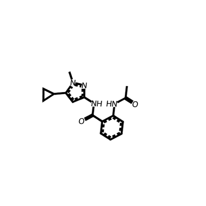 CC(=O)Nc1ccccc1C(=O)Nc1cc(C2CC2)n(C)n1